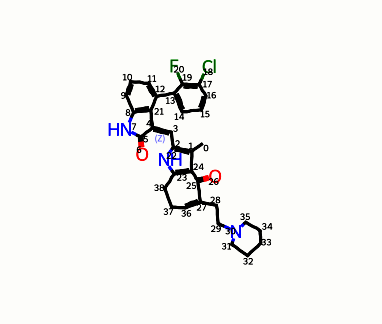 Cc1c(/C=C2\C(=O)Nc3cccc(-c4cccc(Cl)c4F)c32)[nH]c2c1C(=O)C(CCN1CCCCC1)=CCC2